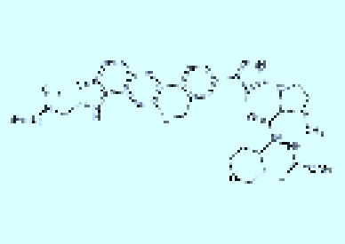 CCC[C@H](C)N(C)Cc1nc2ccc3cc4c(cc3c2[nH]1)OCc1cc(-c2cnc([C@@H]3CC[C@H](C)N3C(=O)[C@@H](NC(=O)OC)C3CCOCC3)[nH]2)ccc1-4